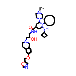 CC(C)N1CCN(C2CC(C(=O)NC[C@H](O)CN3CCc4cc(OCc5cnco5)ccc4C3)CC(NC3CCC3)N2C2CCCCCCCCC2)CC1